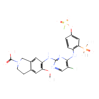 COc1cc2c(cc1Nc1ncc(Cl)c(Nc3ccc(OS(=O)(=O)F)cc3P(C)(C)=O)n1)CN(C(=O)O)CC2